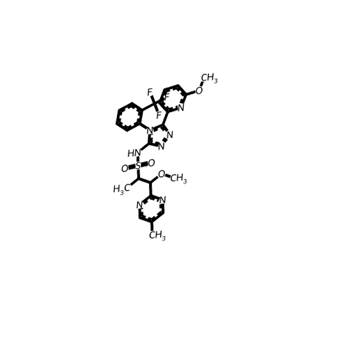 COc1cccc(-c2nnc(NS(=O)(=O)C(C)C(OC)c3ncc(C)cn3)n2-c2ccccc2C(F)(F)F)n1